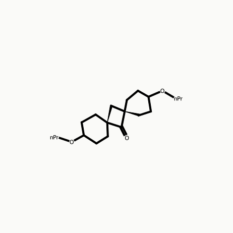 CCCOC1CC[C@]2(CC1)C[C@@]1(CCC(OCCC)CC1)C2=O